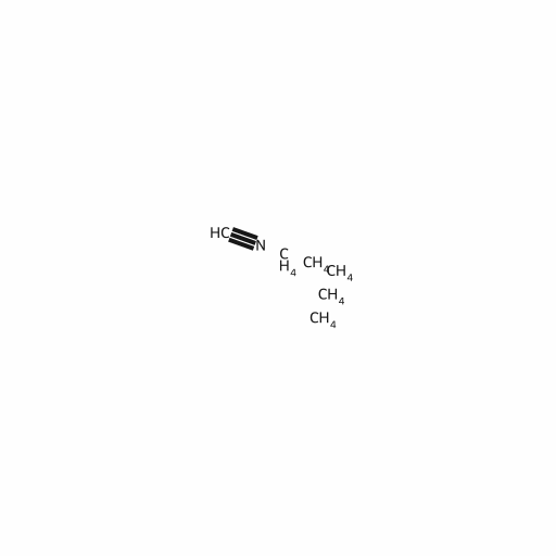 C.C.C.C.C.C#N